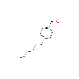 O=Cc1ccc(CCCCO)cc1